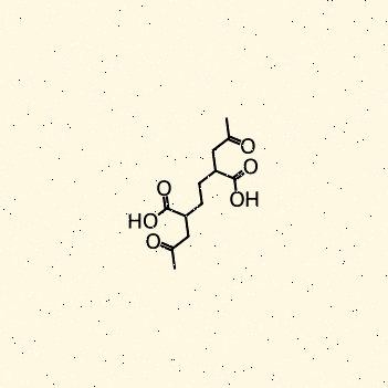 CC(=O)CC(CCC(CC(C)=O)C(=O)O)C(=O)O